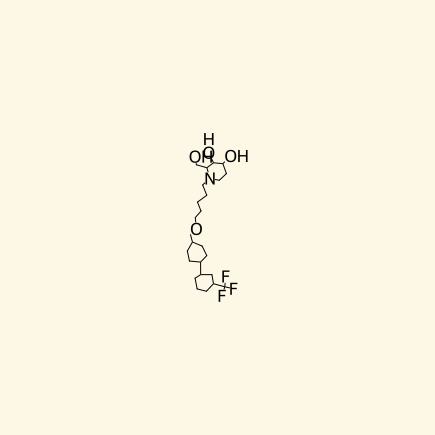 OCC1C(O)C(O)CCN1CCCCCOCC1CCC(C2CCCC(C(F)(F)F)C2)CC1